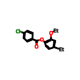 CCOc1cc(CC)ccc1OC(=O)c1ccc(Cl)cc1